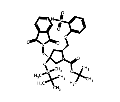 CC(C)(C)OC(=O)N1C[C@@](CN2C(=O)c3ccccc3C2=O)(O[Si](C)(C)C(C)(C)C)C[C@H]1CSc1ccccc1S(N)(=O)=O